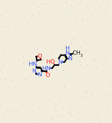 Cc1nc2c([nH]1)CCN(C[C@@H](O)CNC(=O)c1cc(NC3COC3)ncn1)C2